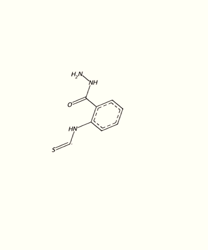 NNC(=O)c1ccccc1N[C]=S